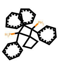 PC(c1ccccc1)(c1ccccc1)C1(C(P)(c2ccccc2)c2ccccc2)CCC1